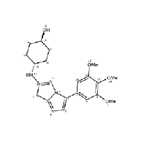 COc1cc(-c2cnc3sc(N[C@H]4CC[C@H](O)CC4)nn23)cc(OC)c1OC